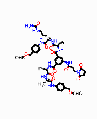 CC(C)C(NC(=O)c1cc(NC(=O)CCN2C(=O)C=CC2=O)cc(C(=O)NC(C(=O)N[C@@H](CCCNC(N)=O)C(=O)Nc2ccc(COC=O)cc2)C(C)C)c1)C(=O)N[C@@H](C)C(=O)Nc1ccc(COC=O)cc1